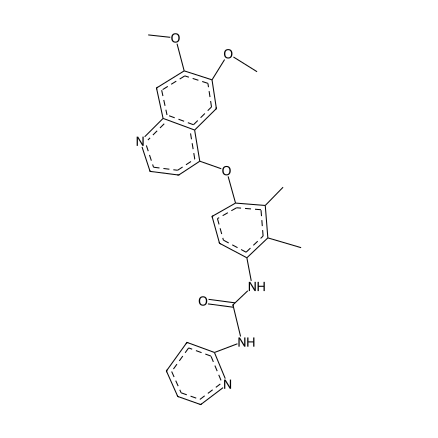 COc1cc2nccc(Oc3ccc(NC(=O)Nc4ccccn4)c(C)c3C)c2cc1OC